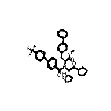 COC(=O)[C@H](Cc1ccc(-c2ccccc2)cc1)N(C(=O)c1ccc(-c2ccc(C(F)(F)F)cc2)cc1)C(C(=O)C1CCCC1)[C@@H]1CCCN1